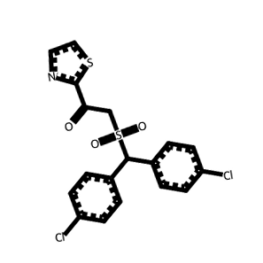 O=C(CS(=O)(=O)C(c1ccc(Cl)cc1)c1ccc(Cl)cc1)c1nccs1